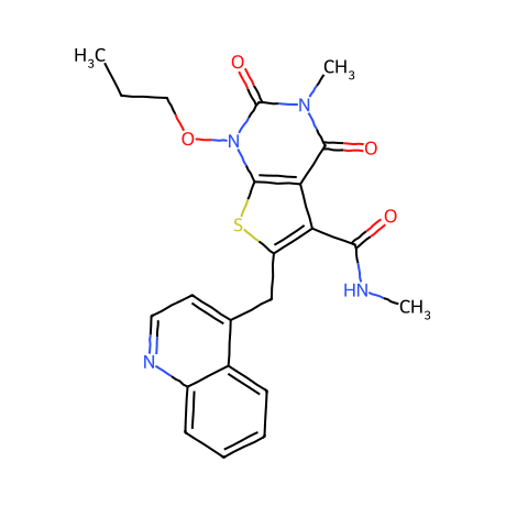 CCCOn1c(=O)n(C)c(=O)c2c(C(=O)NC)c(Cc3ccnc4ccccc34)sc21